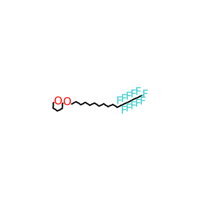 FC(F)(F)C(F)(F)C(F)(F)C(F)(F)C(F)(F)CCCCCCCCCCCOC1CCCCO1